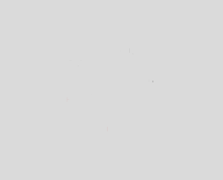 CCCc1cc(O)c(O)c(C(=O)O)c1C